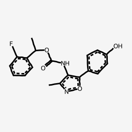 Cc1noc(-c2ccc(O)cc2)c1NC(=O)OC(C)c1ccccc1F